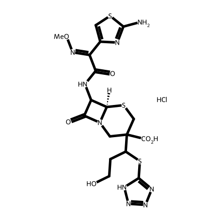 CON=C(C(=O)NC1C(=O)N2CC(C(=O)O)(C(CCO)Sc3nnn[nH]3)CS[C@H]12)c1csc(N)n1.Cl